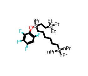 CCC[Si](CCC)(CCC)CCCCCC[Si](CC[Si](CC)(CC)CC)(Oc1c(F)[c]c(F)c(F)c1F)C(C)C